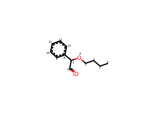 CCCCOC([C]=O)c1ccccc1